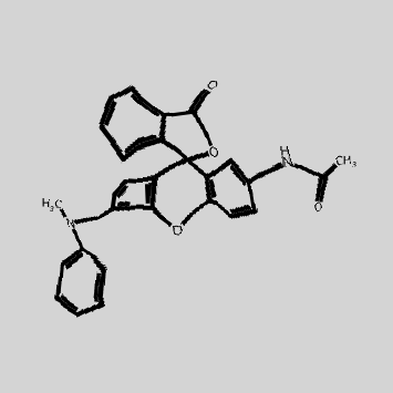 CC(=O)Nc1ccc2c(c1)C1(OC(=O)c3ccccc31)c1ccc(N(C)c3ccccc3)cc1O2